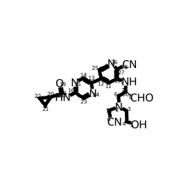 N#CCN(CCO)C[C@@H](C=O)Nc1cc(-c2cnc(NC(=O)C3CC3)cn2)cnc1C#N